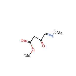 CON=CC(=O)CC(=O)OC(C)(C)C